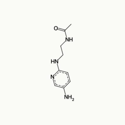 CC(=O)NCCNc1ccc(N)cn1